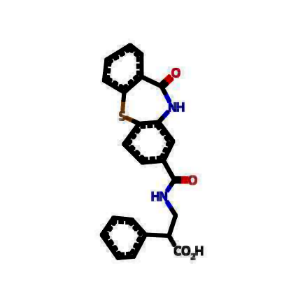 O=C(NCC(C(=O)O)c1ccccc1)c1ccc2c(c1)NC(=O)c1ccccc1S2